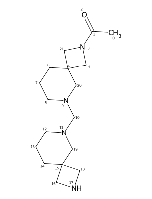 CC(=O)N1CC2(CCCN(CN3CCCC4(CNC4)C3)C2)C1